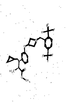 COC(=O)[C@@H](C)[C@H](c1cccc(OC2CN(Cc3cc(C(F)(F)F)ccc3C(F)(F)F)C2)c1)C1CC1